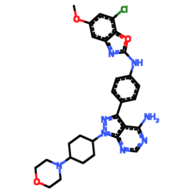 COc1cc(Cl)c2oc(Nc3ccc(-c4nn(C5CCC(N6CCOCC6)CC5)c5ncnc(N)c45)cc3)nc2c1